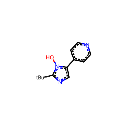 CC(C)(C)c1ncc(-c2ccncc2)n1O